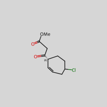 COC(=O)CC(=O)[C@H]1C=CCC(Cl)CC1